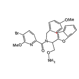 COc1ccc(CN(C(=O)c2ccc(Br)c(OC)n2)C(CON)c2cc3ccccc3o2)cc1